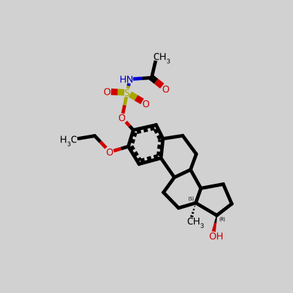 CCOc1cc2c(cc1OS(=O)(=O)NC(C)=O)CCC1C2CC[C@@]2(C)C1CC[C@H]2O